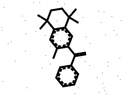 C=C(c1ccccc1)c1cc2c(cc1C)C(C)(C)CCC2(C)C